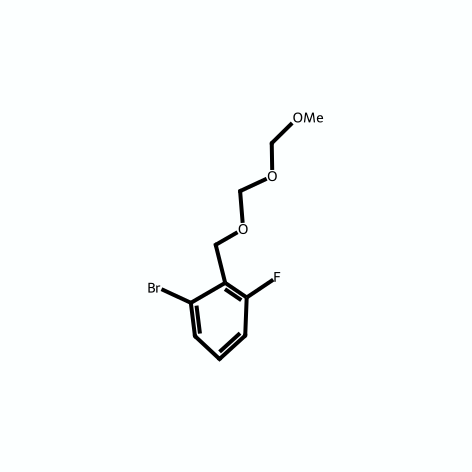 COCOCOCc1c(F)cccc1Br